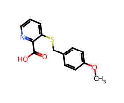 COc1ccc(CSc2cccnc2C(=O)O)cc1